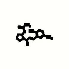 NC(=O)OC1CCCN1C(=O)C=Cc1cc(N)ccc1O